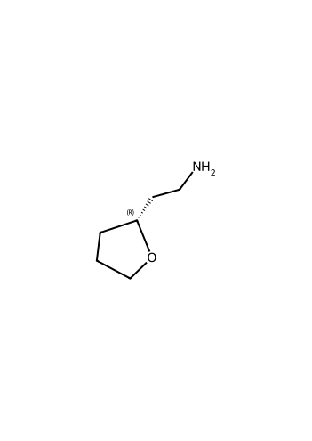 NCC[C@H]1CCCO1